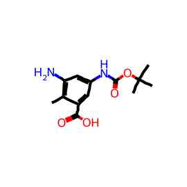 Cc1c(N)cc(NC(=O)OC(C)(C)C)cc1C(=O)O